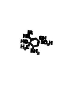 CCNC1=CC=CC(N)C1(C)O.O=S(=O)(O)O